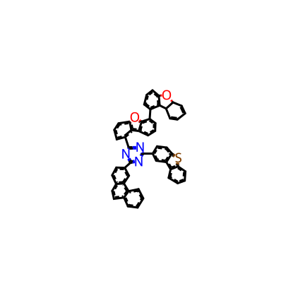 C1=CC2Oc3cccc(-c4cccc5c4oc4cccc(-c6nc(-c7ccc8ccc9ccccc9c8c7)nc(-c7ccc8sc9ccccc9c8c7)n6)c45)c3C2C=C1